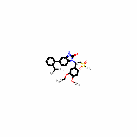 CCOc1cc([C@H](CS(C)(=O)=O)n2c(=O)[nH]c3cc(-c4ccccc4C(C)C)ccc32)ccc1OC